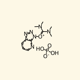 CN(C)C(=[O+]n1nnc2cccnc21)N(C)C.O=P([O-])(O)O